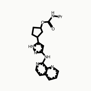 CC(C)NC(=O)OC1CCC(c2cc(Nc3nccc4cccnc34)n[nH]2)C1